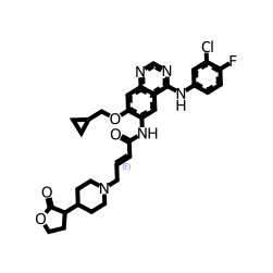 O=C(/C=C/CN1CCC(C2CCOC2=O)CC1)Nc1cc2c(Nc3ccc(F)c(Cl)c3)ncnc2cc1OCC1CC1